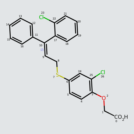 O=C(O)COc1ccc(SC/C=C(/c2ccccc2)c2ccccc2Cl)cc1Cl